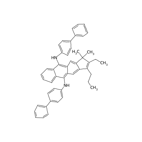 CCCC1=C(CC)C(C)(C)c2cc3c(Nc4ccc(-c5ccccc5)cc4)c4ccccc4c(Nc4ccc(-c5ccccc5)cc4)c3cc21